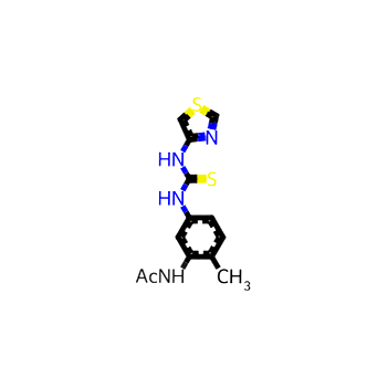 CC(=O)Nc1cc(NC(=S)Nc2cscn2)ccc1C